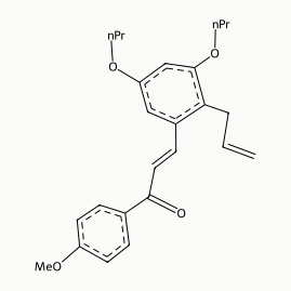 C=CCc1c(C=CC(=O)c2ccc(OC)cc2)cc(OCCC)cc1OCCC